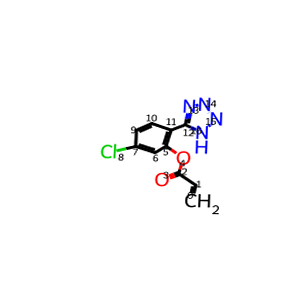 C=CC(=O)Oc1cc(Cl)ccc1-c1nnn[nH]1